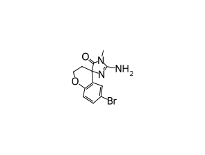 CN1C(=O)C2(CCOc3ccc(Br)cc32)N=C1N